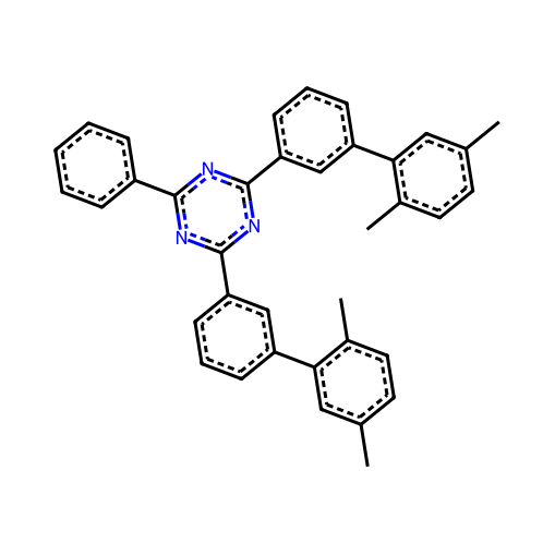 Cc1ccc(C)c(-c2cccc(-c3nc(-c4ccccc4)nc(-c4cccc(-c5cc(C)ccc5C)c4)n3)c2)c1